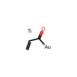 C=C[C](=O)[Au].[Ti]